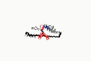 CCCCC/C=C\C/C=C\CCCCCCCC(=O)OCC(COC(=O)CCCCCCC/C=C\C/C=C\CCCCC)OC(=O)CCC(CCCCCCCC)OC(=O)N(C)CCN(C)C